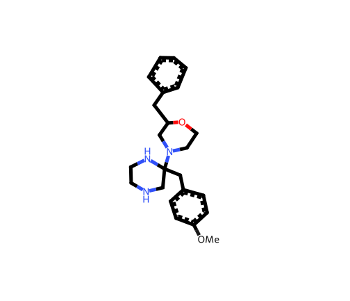 COc1ccc(CC2(N3CCOC(Cc4ccccc4)C3)CNCCN2)cc1